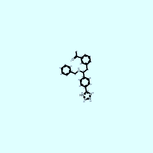 CC(=O)c1cccc(CC(OCc2ccccc2)c2ccc(-c3nnn[nH]3)cc2)c1